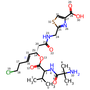 CC(C)C(NC(=O)C(C)(C)N)C(=O)O[C@H](/C=C/CCCl)CC(=O)NCc1nc(C(=O)O)cs1